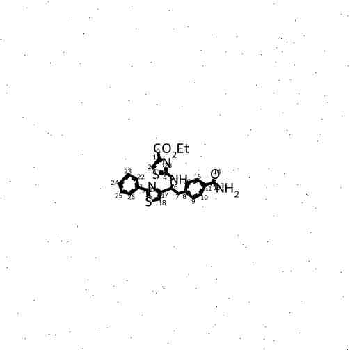 CCOC(=O)c1csc(NC(Cc2ccc(C(N)=O)cc2)c2csc(-c3ccccc3)n2)n1